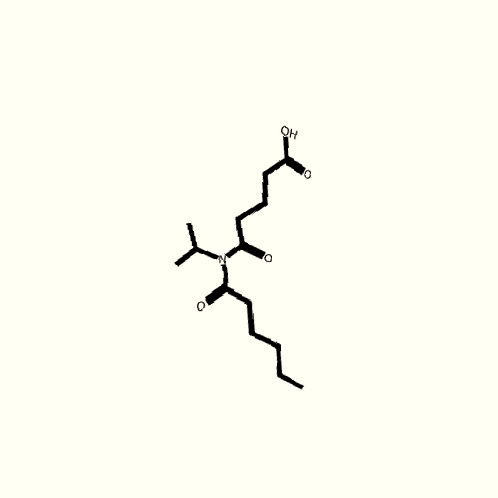 CCCCCC(=O)N(C(=O)CCCC(=O)O)C(C)C